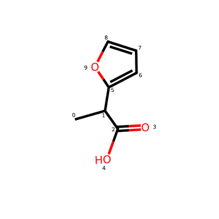 CC(C(=O)O)c1ccco1